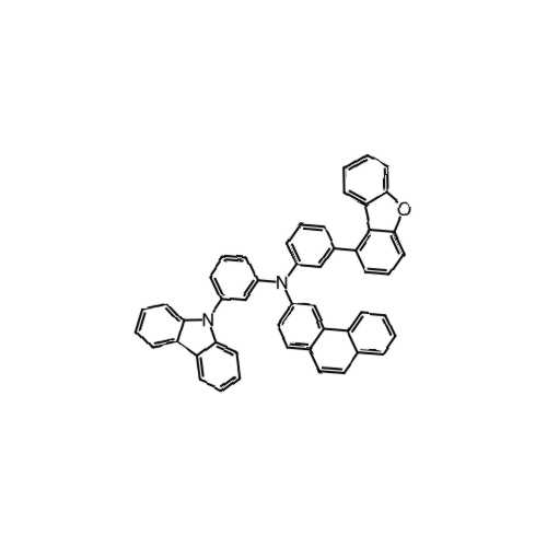 c1cc(-c2cccc3oc4ccccc4c23)cc(N(c2cccc(-n3c4ccccc4c4ccccc43)c2)c2ccc3ccc4ccccc4c3c2)c1